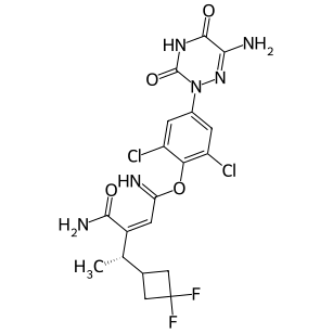 C[C@H](/C(=C/C(=N)Oc1c(Cl)cc(-n2nc(N)c(=O)[nH]c2=O)cc1Cl)C(N)=O)C1CC(F)(F)C1